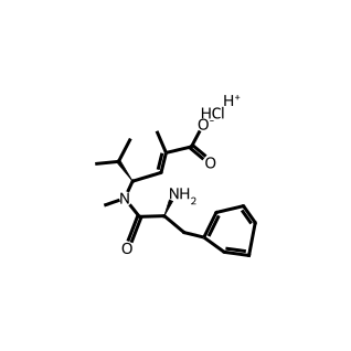 C/C(=C\[C@H](C(C)C)N(C)C(=O)[C@@H](N)Cc1ccccc1)C(=O)[O-].Cl.[H+]